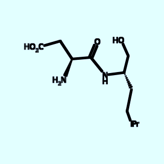 CC(C)CC[C@@H](CO)NC(=O)[C@@H](N)CC(=O)O